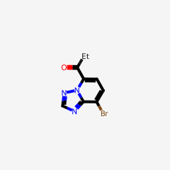 CCC(=O)c1ccc(Br)c2ncnn12